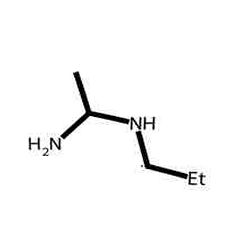 CC[CH]NC(C)N